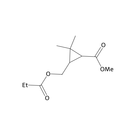 CCC(=O)OCC1C(C(=O)OC)C1(C)C